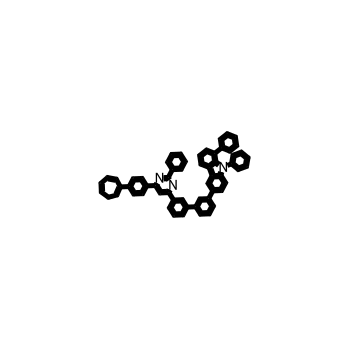 C1=CCC=C(c2ccc(-c3cc(-c4cccc(-c5cccc(-c6ccc7c(c6)c6cccc(-c8ccccc8)c6n7-c6ccccc6)c5)c4)nc(-c4ccccc4)n3)cc2)C=C1